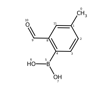 Cc1ccc(B(O)O)c(C=O)c1